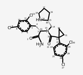 NC(=O)[C@H](Cc1ccc(Cl)cc1Cl)N(C[C@H]1CCCN1)C(=O)C1(c2ccc(Cl)cc2Cl)CC1